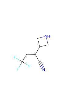 N#CC(CC(F)(F)F)C1CNC1